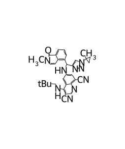 Cn1ccc2c(C(Nc3cc(C#N)c4ncc(C#N)c(NCC(C)(C)C)c4c3)c3cn(C4(C)CC4)nn3)cccc2c1=O